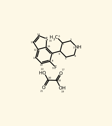 CC1CNCCC1c1c(F)ccc2ccsc12.O=C(O)C(=O)O